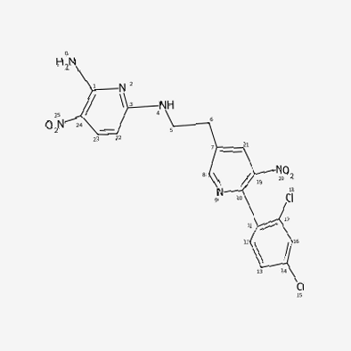 Nc1nc(NCCc2[c]nc(-c3ccc(Cl)cc3Cl)c([N+](=O)[O-])c2)ccc1[N+](=O)[O-]